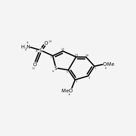 COc1cc(OC)c2sc(S(N)(=O)=O)cc2c1